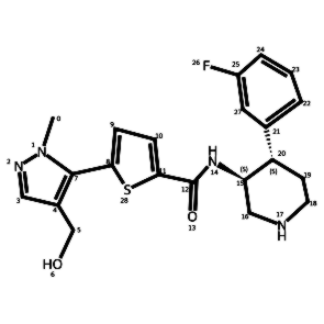 Cn1ncc(CO)c1-c1ccc(C(=O)N[C@@H]2CNCC[C@H]2c2cccc(F)c2)s1